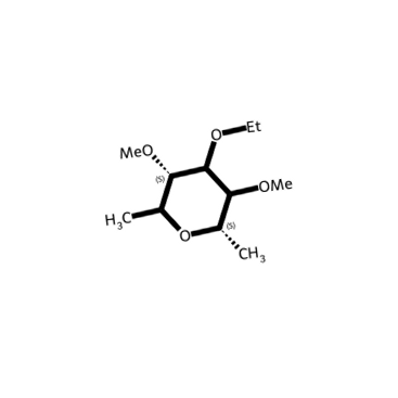 CCOC1C(OC)[C@H](C)OC(C)[C@@H]1OC